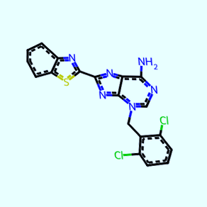 Nc1ncn(Cc2c(Cl)cccc2Cl)c2nc(-c3nc4ccccc4s3)nc1-2